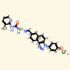 CCc1cccnc1NC(=O)NS/N=C/c1ccc2c(ccc3c2nnn3-c2ccc(OC(F)(F)F)cc2)c1